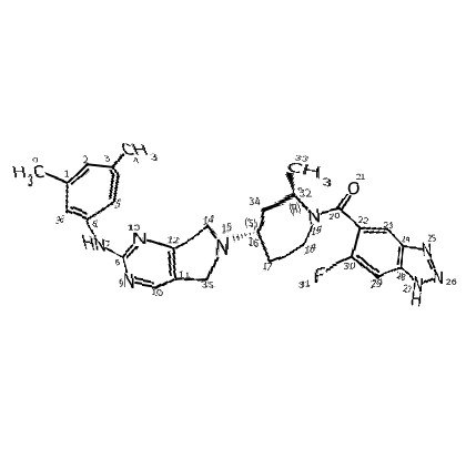 Cc1cc(C)cc(Nc2ncc3c(n2)CN([C@H]2CCN(C(=O)c4cc5nn[nH]c5cc4F)[C@H](C)C2)C3)c1